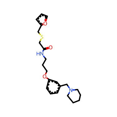 O=C(CSCc1ccco1)NCCCOc1cccc(CN2CCCCC2)c1